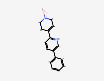 BN1CC=C(c2ccc(-c3ccccc3)cn2)CC1